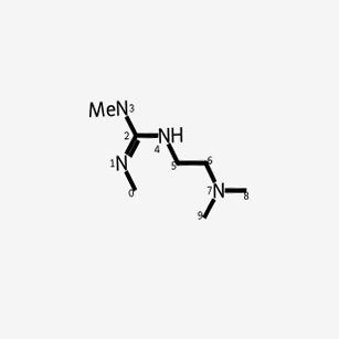 C/N=C(/NC)NCCN(C)C